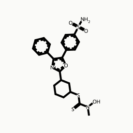 CN(O)C(=S)SC1CCCC(c2nc(-c3ccccc3)c(-c3ccc(S(N)(=O)=O)cc3)o2)C1